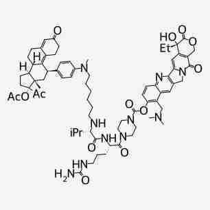 CC[C@@]1(O)C(=O)OCc2c1cc1n(c2=O)Cc2cc3c(CN(C)C)c(OC(=O)N4CCN(C(=O)[C@H](CCCNC(N)=O)NC(=O)[C@@H](NCCCCCCN(C)c5ccc([C@H]6C[C@@]7(C)[C@@H](CC[C@]7(OC(C)=O)C(C)=O)[C@@H]7CCC8=CC(=O)CCC8=C76)cc5)C(C)C)CC4)ccc3nc2-1